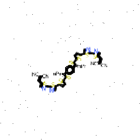 CCCc1c(-c2ccc(-c3cnc(-c4ncc(C=C(C#N)C#N)s4)s3)s2)sc2cc3c(CCC)c(-c4ccc(-c5cnc(-c6ncc(C=C(C#N)C#N)s6)s5)s4)sc3cc12